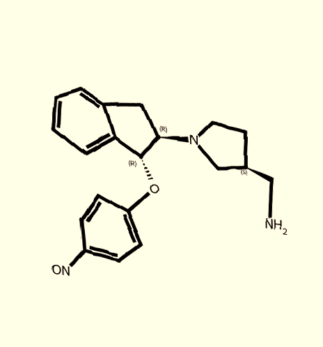 NC[C@@H]1CCN([C@@H]2Cc3ccccc3[C@H]2Oc2ccc(N=O)cc2)C1